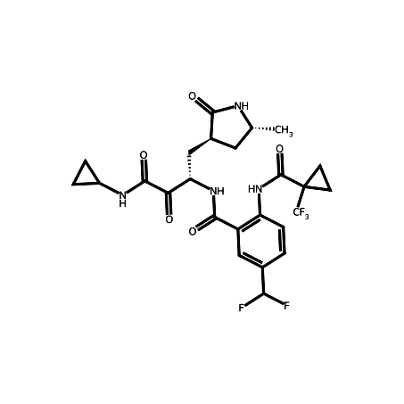 C[C@@H]1C[C@@H](C[C@H](NC(=O)c2cc(C(F)F)ccc2NC(=O)C2(C(F)(F)F)CC2)C(=O)C(=O)NC2CC2)C(=O)N1